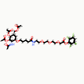 CC(=O)N[C@@H]1[C@@H](OC(C)=O)[C@@H](OC(C)=O)[C@@H](COC(C)=O)C[C@H]1OCCCCC(=O)NCCOCCOCCOCC(=O)Oc1c(F)c(F)cc(F)c1F